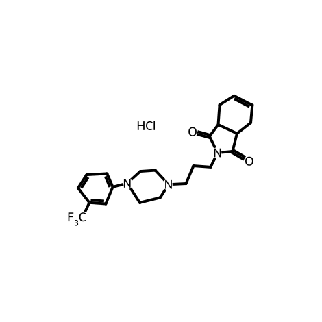 Cl.O=C1C2CC=CCC2C(=O)N1CCCN1CCN(c2cccc(C(F)(F)F)c2)CC1